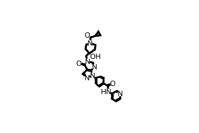 O=C(Nc1cccnc1)c1ccc(-n2ncc3c(=O)n(CC4(O)CCN(C(=O)C5CC5)CC4)cnc32)cc1